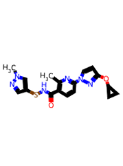 Cc1nc(-n2ccc(OC3CC3)n2)ccc1C(=O)NSc1cnn(C)c1